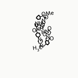 CO[C@@H](C(=O)N1CC2=C(C1)C(c1[nH]ccc1NC(=O)c1ccc(N3CCC(N(C)Cc4ccc5c(c4)CN(C4CCC(=O)NC4=O)C5=O)CC3)cc1)N=C2)c1ccccc1